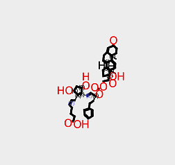 C[C@]12CCC(=O)C=C1CC[C@@H]1C2=CC[C@@]2(C)[C@H]1CC[C@]2(O)C(=O)COC(=O)O[C@H](/C=C/[C@@H]1[C@@H](C/C=C\CCCC(=O)O)[C@@H](O)C[C@H]1O)CCc1ccccc1